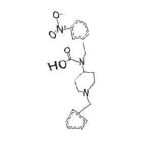 O=C(O)N(Cc1cccc([N+](=O)[O-])c1)C1CCN(Cc2ccccc2)CC1